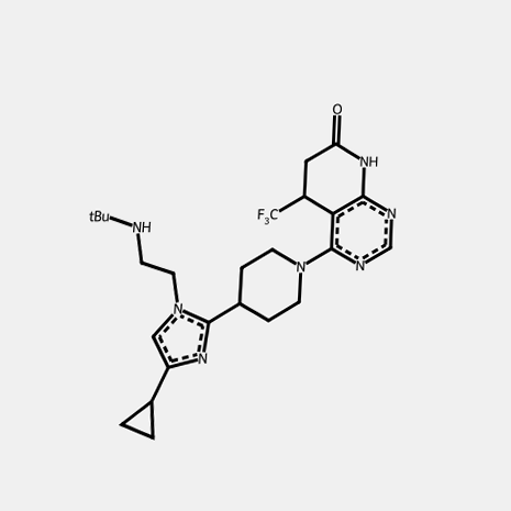 CC(C)(C)NCCn1cc(C2CC2)nc1C1CCN(c2ncnc3c2C(C(F)(F)F)CC(=O)N3)CC1